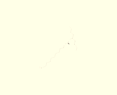 CCCCC(CCCC)OC(=O)OCCCCCCCCCBr